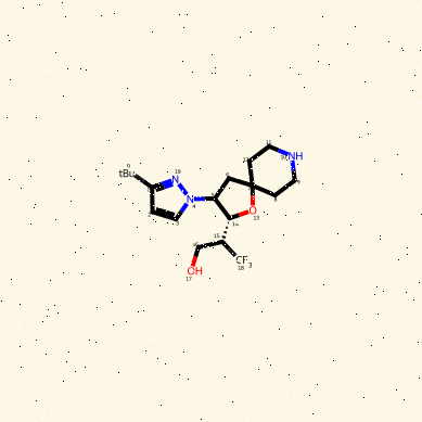 CC(C)(C)c1ccn(C2CC3(CCNCC3)O[C@@H]2C(CO)C(F)(F)F)n1